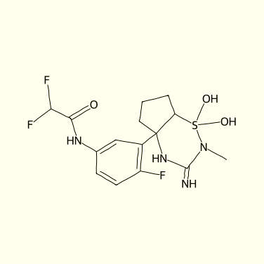 CN1C(=N)NC2(c3cc(NC(=O)C(F)F)ccc3F)CCCC2S1(O)O